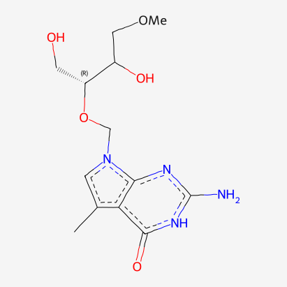 COCC(O)[C@@H](CO)OCn1cc(C)c2c(=O)[nH]c(N)nc21